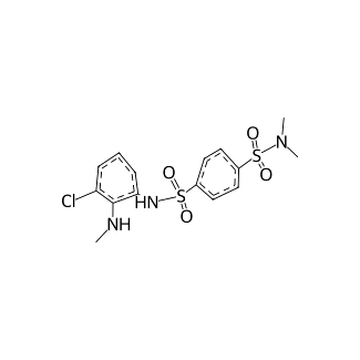 CNc1c(Cl)cccc1NS(=O)(=O)c1ccc(S(=O)(=O)N(C)C)cc1